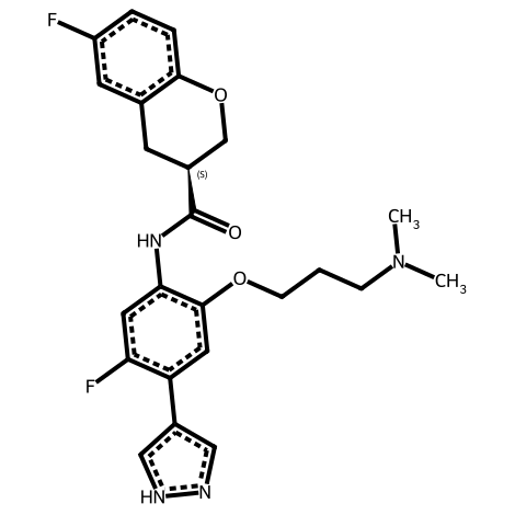 CN(C)CCCOc1cc(-c2cn[nH]c2)c(F)cc1NC(=O)[C@@H]1COc2ccc(F)cc2C1